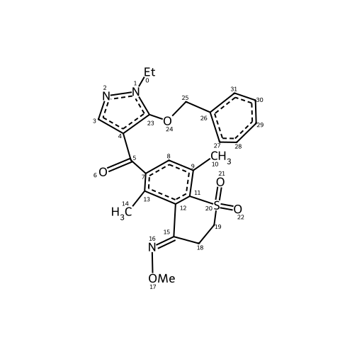 CCn1ncc(C(=O)c2cc(C)c3c(c2C)C(=NOC)CCS3(=O)=O)c1OCc1ccccc1